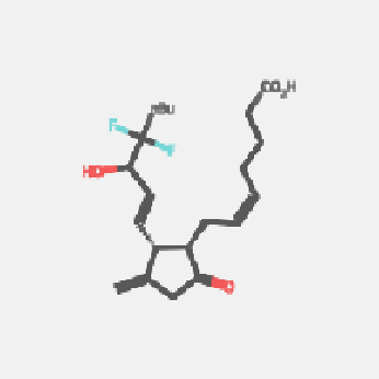 C=C1CC(=O)[C@H](C/C=C\CCCC(=O)O)[C@H]1/C=C/[C@@H](O)C(F)(F)CCCC